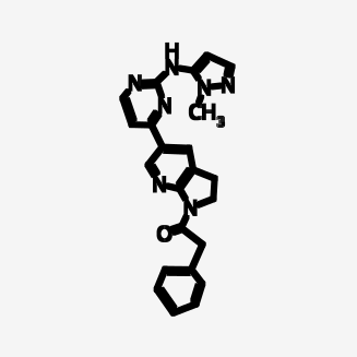 Cn1nccc1Nc1nccc(-c2cnc3c(c2)CCN3C(=O)Cc2ccccc2)n1